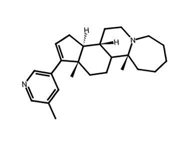 Cc1cncc(C2=CC[C@H]3[C@@H]4CCN5CCCCC[C@]5(C)C4CC[C@]23C)c1